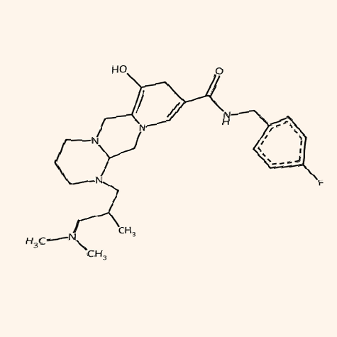 CC(CN(C)C)CN1CCCN2CC3=C(O)CC(C(=O)NCc4ccc(F)cc4)=CN3CC21